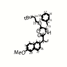 COc1ccc2cc([C@H](C)C(=O)N[C@@H](Cc3ccccc3)C(=O)OCCC(C)(C)C)ccc2c1